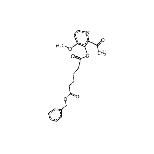 COc1ccnc(C(C)=O)c1OC(=O)CCCCC(=O)OCc1ccccc1